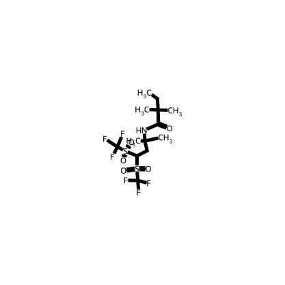 CCC(C)(C)C(=O)NC(C)(C)CC(S(=O)(=O)C(F)(F)F)S(=O)(=O)C(F)(F)F